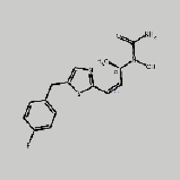 C[C@H](/C=C\c1ncc(Cc2ccc(F)cc2)s1)N(O)C(N)=O